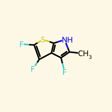 Cc1[nH]c2sc(F)c(F)c2c1F